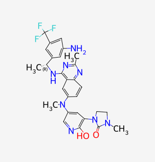 Cc1nc(N[C@H](C)c2cc(N)cc(C(F)(F)F)c2)c2cc(N(C)c3cnc(O)c(N4CCN(C)C4=O)c3)ccc2n1